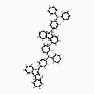 c1ccc(C(c2ccccc2)c2ccc(-n3c4ccccc4c4c(-c5cccc(C(c6ccccc6)c6ccc(-n7c8ccccc8c8c9ccccc9oc87)cc6)c5)cccc43)cc2)cc1